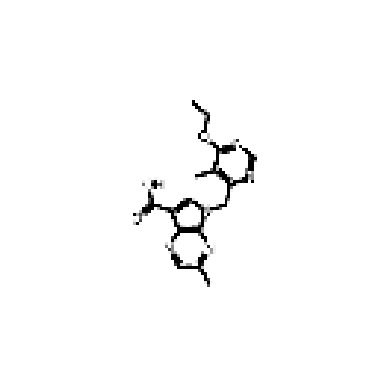 CCOc1ncnc(Cn2cc(C(=O)O)c3ncc(C)nc32)c1C